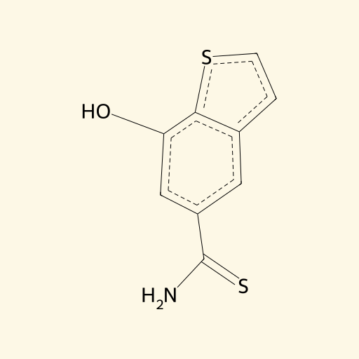 NC(=S)c1cc(O)c2sccc2c1